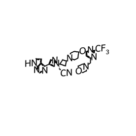 N#CC[C@]1(n2cc(-c3ncnc4[nH]ccc34)cn2)C[C@H](N2CCC(Oc3cc(CN4CCOCC4)nc(C(F)(F)F)n3)CC2)C1